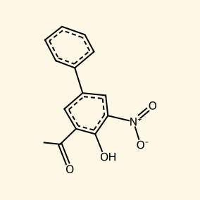 CC(=O)c1cc(-c2ccccc2)cc([N+](=O)[O-])c1O